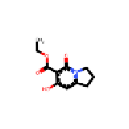 CCOC(=O)c1c(O)cc2n(c1=O)CCC2